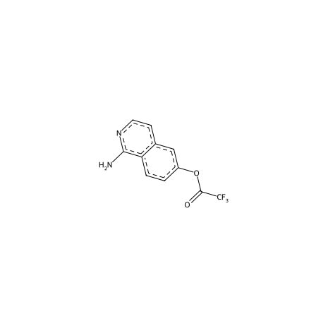 Nc1nccc2cc(OC(=O)C(F)(F)F)ccc12